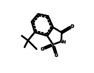 CC(C)(C)c1cccc2c1S(=O)(=O)NC2=O